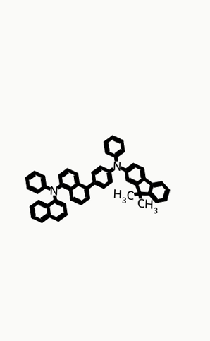 CC1(C)c2ccccc2-c2ccc(N(c3ccccc3)c3ccc(-c4cccc5c(N(c6ccccc6)c6cccc7ccccc67)cccc45)cc3)cc21